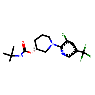 CC(C)(C)NC(=O)O[C@@H]1CCCN(c2ncc(C(F)(F)F)cc2Cl)C1